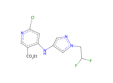 CCOC(=O)c1cnc(Cl)cc1Nc1cnn(CC(F)F)c1